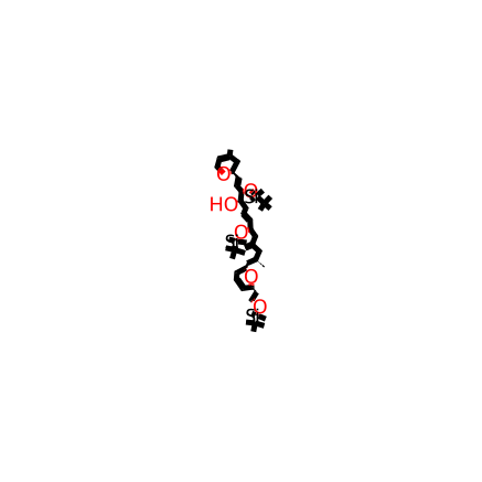 C=C(CC(/C=C/C[C@H](O)C(/C=C/[C@@H]1CC(C)=CCO1)O[Si](C)(C)C(C)(C)C)O[Si](C)(C)C(C)(C)C)C[C@H](C)C[C@@H]1CC=C[C@@H](CCO[Si](C)(C)C(C)(C)C)O1